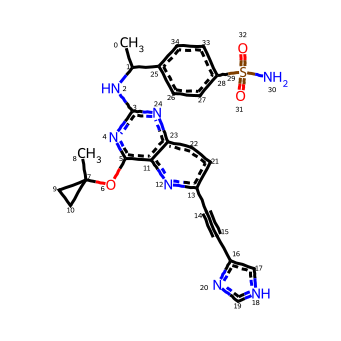 CC(Nc1nc(OC2(C)CC2)c2nc(C#Cc3c[nH]cn3)ccc2n1)c1ccc(S(N)(=O)=O)cc1